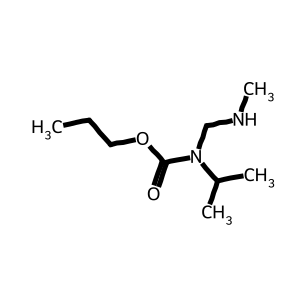 CCCOC(=O)N(CNC)C(C)C